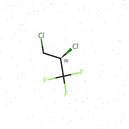 FC(F)(F)[C@H](Cl)CCl